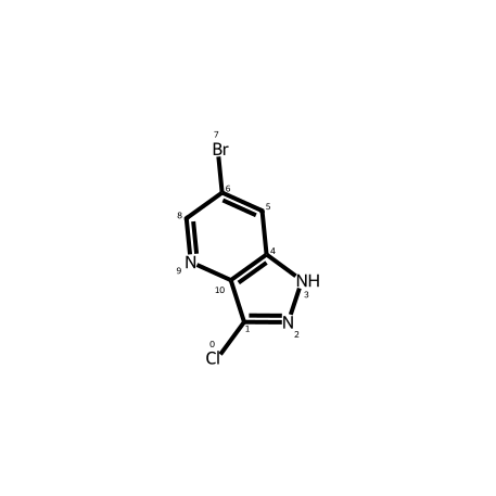 Clc1n[nH]c2cc(Br)cnc12